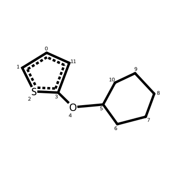 c1csc(OC2CCCCC2)c1